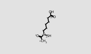 CC(=O)N(S)CCCCCC(=O)O